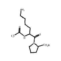 NCCCCC(NC(=O)C(F)(F)F)C(=O)N1CCCC1C(=O)O